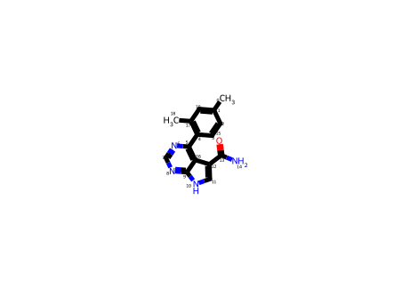 Cc1ccc(-c2ncnc3[nH]cc(C(N)=O)c23)c(C)c1